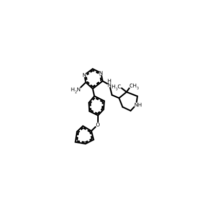 CC1(C)CNCCC1CNc1ncnc(N)c1-c1ccc(Oc2ccccc2)cc1